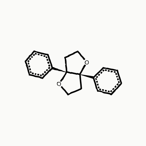 c1ccc([C@@]23CCO[C@]2(c2ccccc2)CCO3)cc1